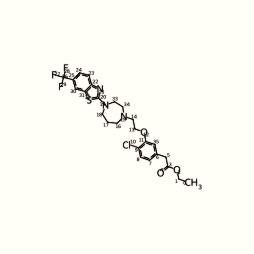 CCOC(=O)Cc1ccc(Cl)c(OCCN2CCCN(c3nc4ccc(C(F)(F)F)cc4s3)CC2)c1